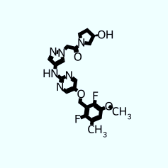 COc1cc(C)c(F)c(COc2cnc(Nc3cnn(CC(=O)N4CC[C@@H](O)C4)c3)nc2)c1F